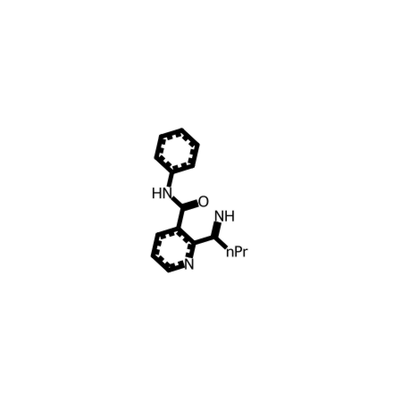 CCCC(=N)c1ncccc1C(=O)Nc1ccccc1